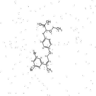 CCOC(Cc1ccc(OCC=C(C)c2cc(Br)cc(Br)c2)cc1)C(=O)O